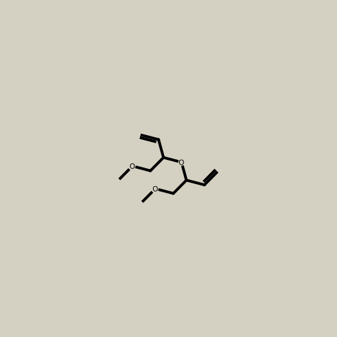 C=CC(COC)OC(C=C)COC